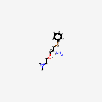 CN(C)CCOC[C@@H](N)CSc1ccccc1